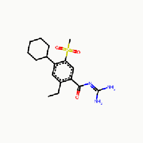 CCc1cc(C2CCCCC2)c(S(C)(=O)=O)cc1C(=O)N=C(N)N